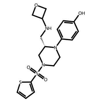 O=S(=O)(c1cccs1)N1CCN(c2ccc(O)cc2)[C@@H](CNC2COC2)C1